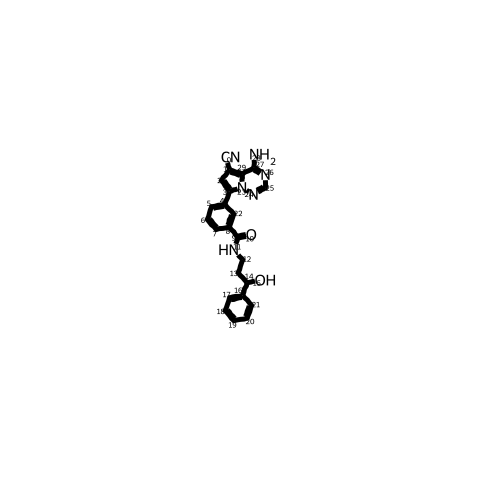 N#Cc1cc(-c2cccc(C(=O)NCCC(O)c3ccccc3)c2)n2ncnc(N)c12